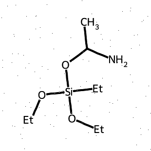 CCO[Si](CC)(OCC)OC(C)N